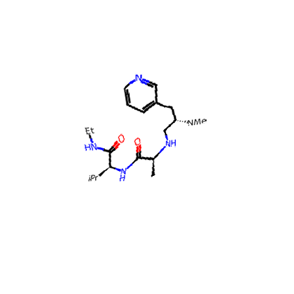 CCNC(=O)[C@@H](NC(=O)[C@H](C)NC[C@H](Cc1cccnc1)NC)C(C)C